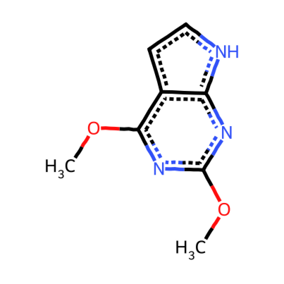 COc1nc(OC)c2cc[nH]c2n1